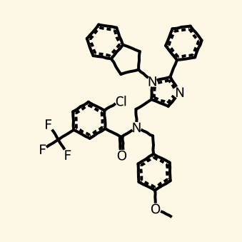 COc1ccc(CN(Cc2cnc(-c3ccccc3)n2C2Cc3ccccc3C2)C(=O)c2cc(C(F)(F)F)ccc2Cl)cc1